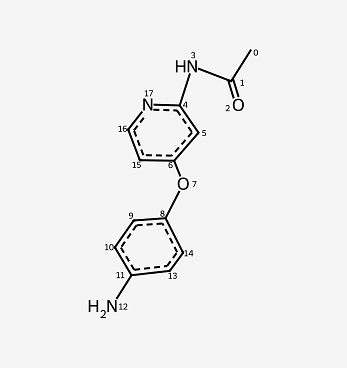 CC(=O)Nc1cc(Oc2ccc(N)cc2)ccn1